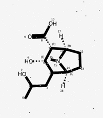 CC(O)CC1[C@H](O)[C@H](C(=O)O)[C@H]2CC[C@@H]1N2C